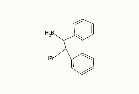 BC(c1ccccc1)C(c1ccccc1)C(C)C